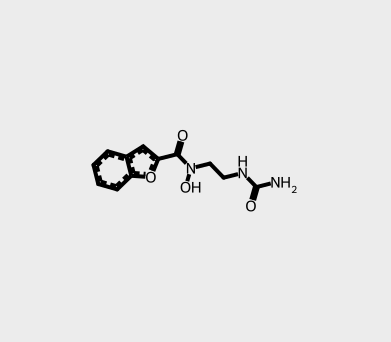 NC(=O)NCCN(O)C(=O)c1cc2ccccc2o1